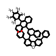 [2H]c1c([2H])c([2H])c(-c2c3ccccc3c(-c3cc(-c4c(-c5ccccc5)ccc5oc6ccc(-c7ccccc7)cc6c45)c4ccccc4c3)c3ccccc23)c([2H])c1[2H]